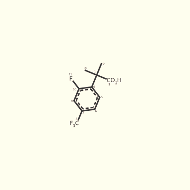 CC(C)(C(=O)O)c1ccc(C(F)(F)F)cc1F